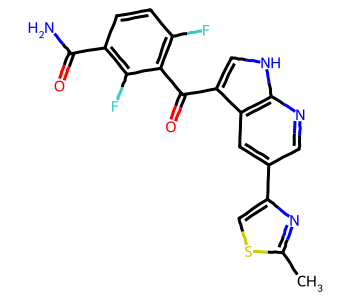 Cc1nc(-c2cnc3[nH]cc(C(=O)c4c(F)ccc(C(N)=O)c4F)c3c2)cs1